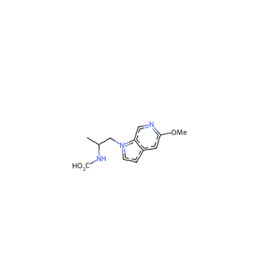 COc1cc2ccn(CC(C)NC(=O)O)c2cn1